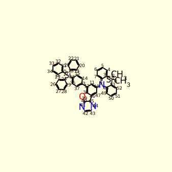 C[Si]1(C)c2ccccc2N(c2cc(-c3ccc([Si](c4ccccc4)(c4ccccc4)c4ccccc4)cc3)c3oc4nccnc4c3c2)c2ccccc21